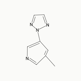 Cc1cncc(-n2nccn2)c1